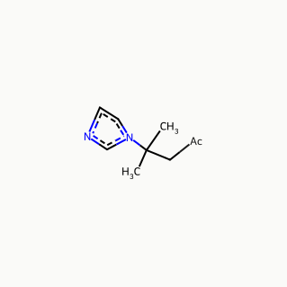 CC(=O)CC(C)(C)n1ccnc1